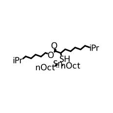 CC(C)CCCCCOC(=O)C(S)CCCCCC(C)C.CCCCCCC[CH2][Sn][CH2]CCCCCCC